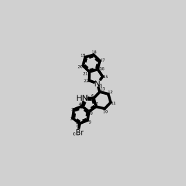 Brc1ccc2[nH]c3c(c2c1)CCCC3N1Cc2ccccc2C1